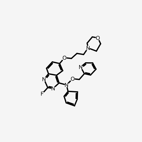 Fc1nc(N(OCc2ccccn2)c2ccccc2)c2cc(OCCCN3CCOCC3)ccc2n1